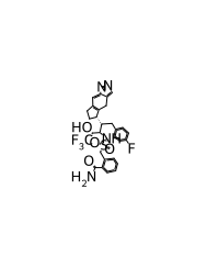 NC(=O)c1ccccc1CS(=O)(=O)NC(C(Cc1ccc(F)cc1)[C@@H]1CCC2=C1CC1=CN=NC1=C2)C(O)C(F)(F)F